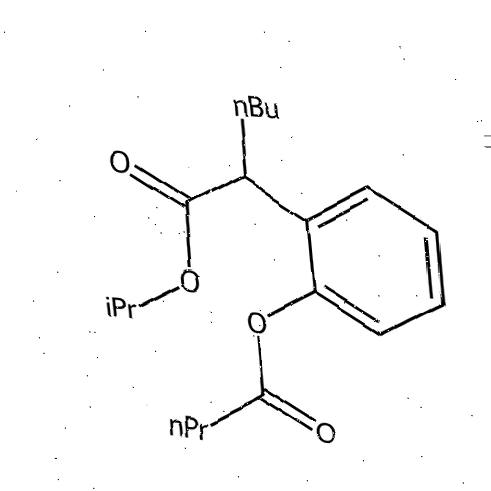 CCCCC(C(=O)OC(C)C)c1ccccc1OC(=O)CCC